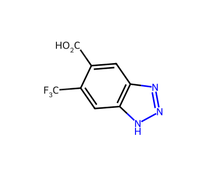 O=C(O)c1cc2nn[nH]c2cc1C(F)(F)F